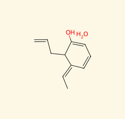 C=CCC1C(O)=CC=CC1=CC.O